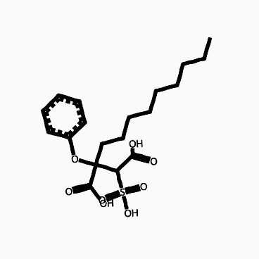 CCCCCCCCCC(Oc1ccccc1)(C(=O)O)C(C(=O)O)S(=O)(=O)O